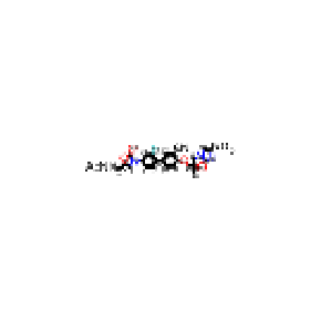 CC(=O)NCC1CN(c2ccc(-c3ccc(OCC4(C)Cn5cc([N+](=O)[O-])nc5O4)c(C#N)c3)c(F)c2)C(=O)O1